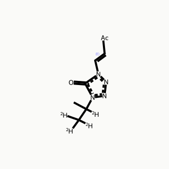 [2H]C([2H])([2H])C([2H])(C)n1nnn(/C=C/C(C)=O)c1=O